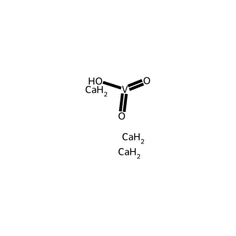 [CaH2].[CaH2].[CaH2].[O]=[V](=[O])[OH]